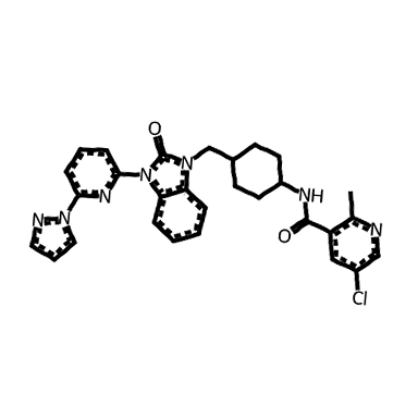 Cc1ncc(Cl)cc1C(=O)NC1CCC(Cn2c(=O)n(-c3cccc(-n4cccn4)n3)c3ccccc32)CC1